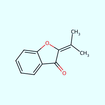 CC(C)=C1Oc2ccccc2C1=O